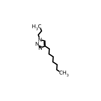 CCCCCCCc1cn(CCC)nn1